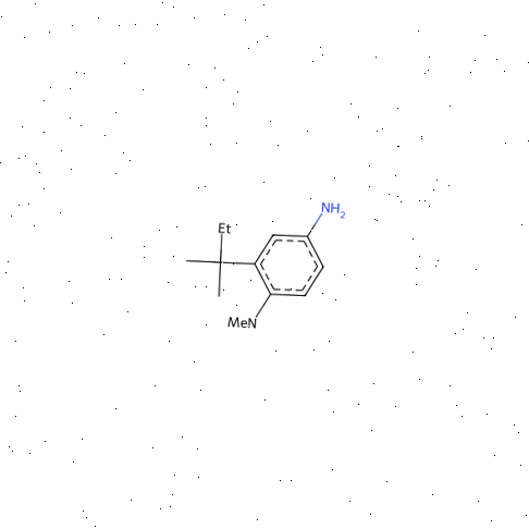 CCC(C)(C)c1cc(N)ccc1NC